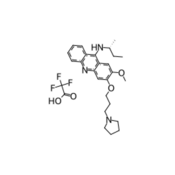 CC[C@@H](C)Nc1c2ccccc2nc2cc(OCCCN3CCCC3)c(OC)cc12.O=C(O)C(F)(F)F